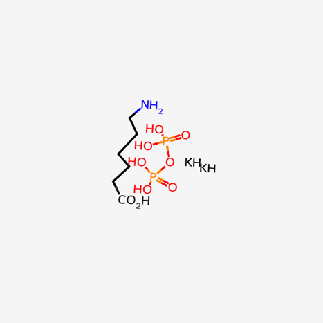 NCCCCCC(=O)O.O=P(O)(O)OP(=O)(O)O.[KH].[KH]